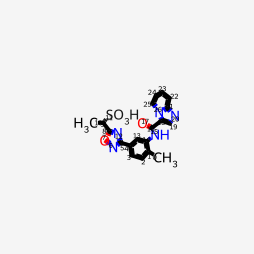 Cc1ccc(-c2noc(C(C)S(=O)(=O)O)n2)cc1NC(=O)c1cnc2ccccn12